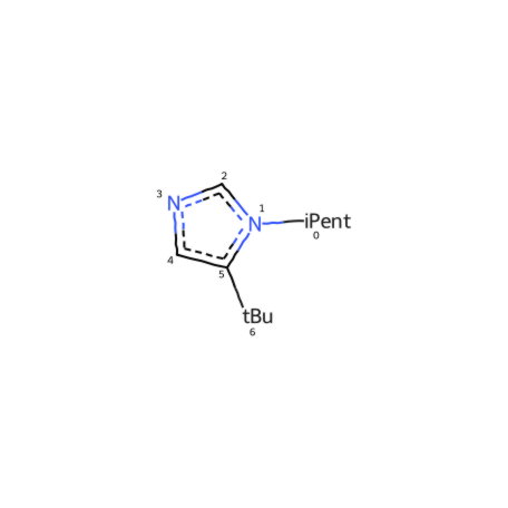 CCCC(C)n1cncc1C(C)(C)C